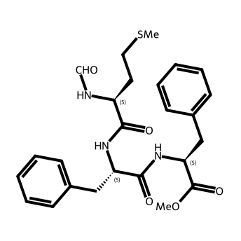 COC(=O)[C@H](Cc1ccccc1)NC(=O)[C@H](Cc1ccccc1)NC(=O)[C@H](CCSC)NC=O